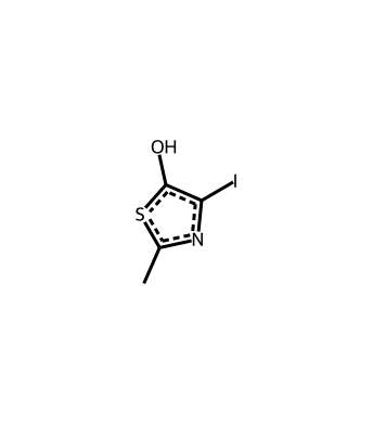 Cc1nc(I)c(O)s1